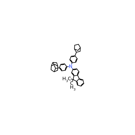 CC1(C)c2ccccc2-c2ccc(N(c3ccc(C4CC5CCC4C5)cc3)c3ccc(C4C5CC6CC(C5)C4C6)cc3)cc21